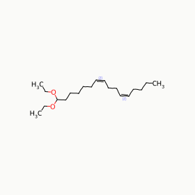 CCCC/C=C\CC/C=C\CCCCCC(OCC)OCC